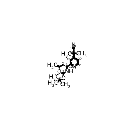 C=CC[C@H](NC(=O)OC(C)(C)C)c1cc(C(C)(C)C#N)ccn1